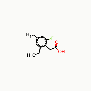 CCc1cc(C)cc(F)c1CC(=O)O